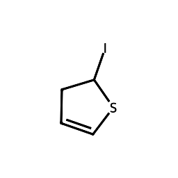 IC1CC=CS1